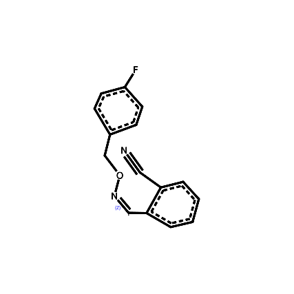 N#Cc1ccccc1/[C]=N\OCc1ccc(F)cc1